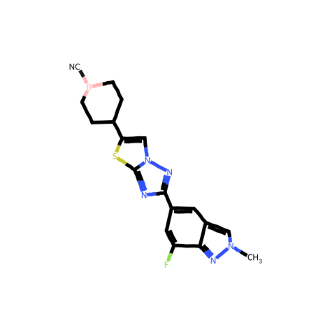 Cn1cc2cc(-c3nc4sc(C5CCB(C#N)CC5)cn4n3)cc(F)c2n1